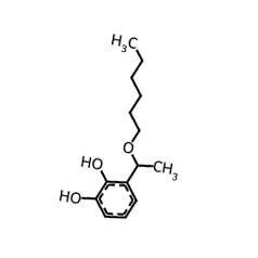 CCCCCCOC(C)c1cccc(O)c1O